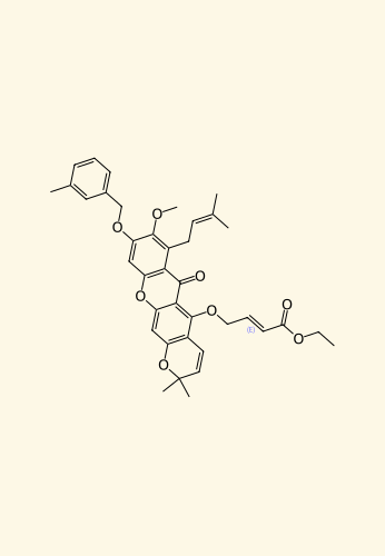 CCOC(=O)/C=C/COc1c2c(cc3oc4cc(OCc5cccc(C)c5)c(OC)c(CC=C(C)C)c4c(=O)c13)OC(C)(C)C=C2